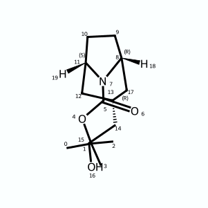 CC(C)(C)OC(=O)N1[C@@H]2CC[C@H]1C[C@@H](CCO)C2